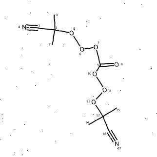 CC(C)(C#N)OOOC(=O)OOOC(C)(C)C#N